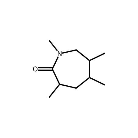 CC1CC(C)C(C)CN(C)C1=O